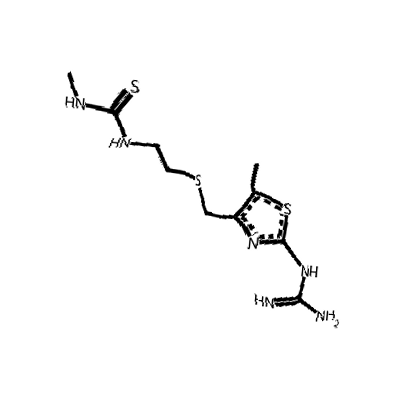 CNC(=S)NCCSCc1nc(NC(=N)N)sc1C